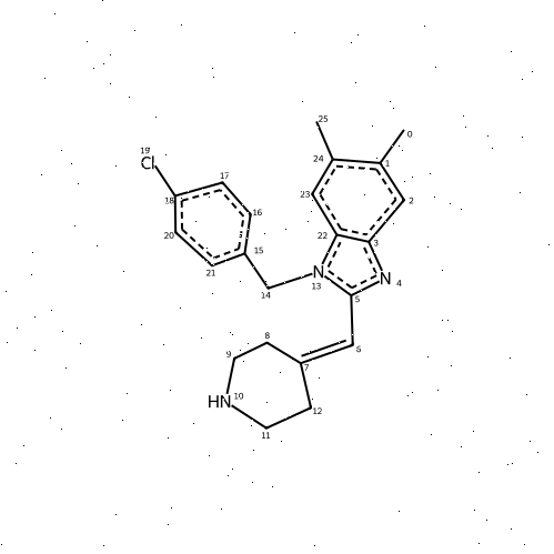 Cc1cc2nc(C=C3CCNCC3)n(Cc3ccc(Cl)cc3)c2cc1C